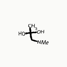 CNCC(C)(O)O